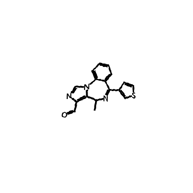 CC1N=C(c2ccsc2)c2ccccc2-n2cnc(C=O)c21